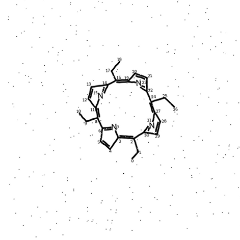 CCC1=C2C=CC(=N2)C(CC)=C2C=CC(=N2)C(CC)=C2C=CC(=N2)C(CC)=C2C=CC1=N2